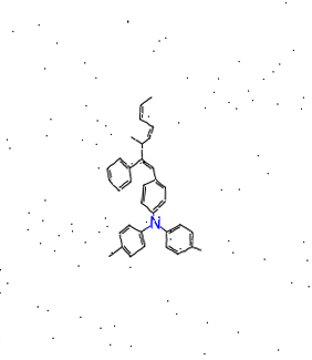 C/C=C\C=C/C(C)/C(=C/c1ccc(N(c2ccc(C)cc2)c2ccc(C)cc2)cc1)c1ccccc1